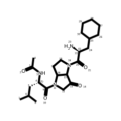 CC(=O)N[C@@H](CC(C)C)C(=O)N1CC(=O)C2C1CCN2C(=O)[C@@H](N)CC1CCCCC1